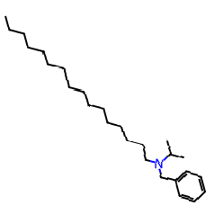 CCCCCCCCCCCCCCCCN(Cc1ccccc1)C(C)C